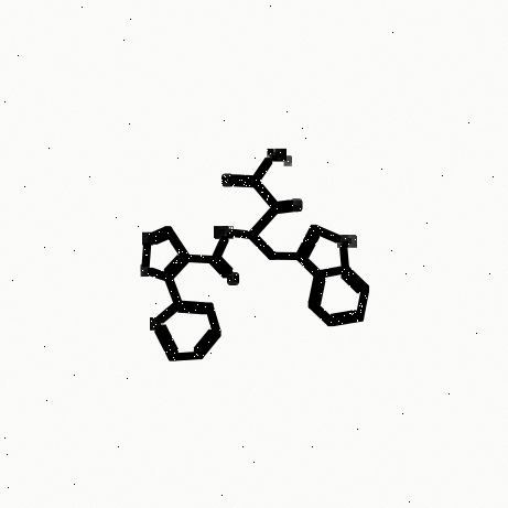 NC(=O)C(=O)C(Cc1c[nH]c2ccccc12)NC(=O)c1cnsc1-c1ccccn1